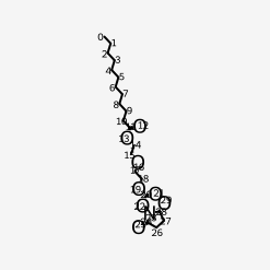 CCCCCCCCCCCC(=O)OCCOCCOC(=O)ON1C(=O)CCC1=O